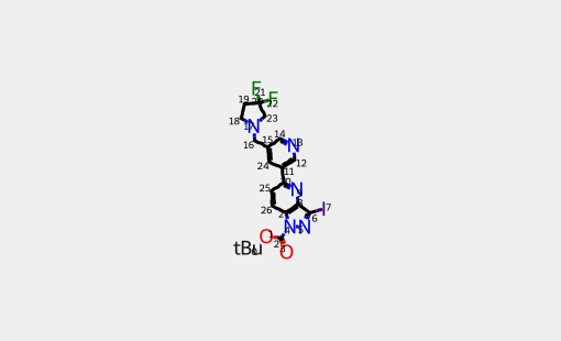 CC(C)(C)OC(=O)n1nc(I)c2nc(-c3cncc(CN4CCC(F)(F)C4)c3)ccc21